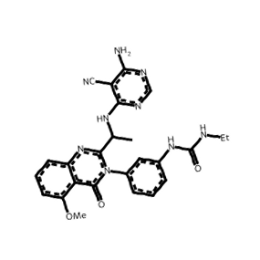 CCNC(=O)Nc1cccc(-n2c(C(C)Nc3ncnc(N)c3C#N)nc3cccc(OC)c3c2=O)c1